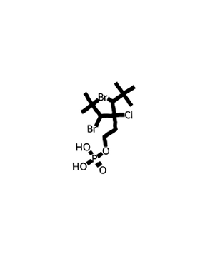 CC(C)(C)C(Br)C(Cl)(CCOP(=O)(O)O)C(Br)C(C)(C)C